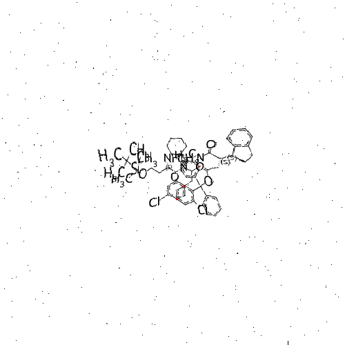 CN(CC(Cc1ccc(Cl)cc1)N(C)C(=O)[C@@H](N)CCO[Si](C)(C)C(C)(C)C)C(=O)[C@@H](CC(=O)OC(c1ccccc1)(c1ccc(C2CCCCC2)cc1)c1ccccc1Cl)[C@@H]1CCc2ccccc21